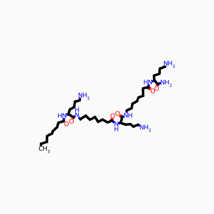 CCCCCCCCC(=O)NC(CCCCN)C(=O)NCCCCCCCC(=O)NC(CCCCN)C(=O)NCCCCCCCC(=O)NC(CCCCN)C(N)=O